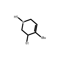 CCC1CN(S)CC=C1C(C)(C)C